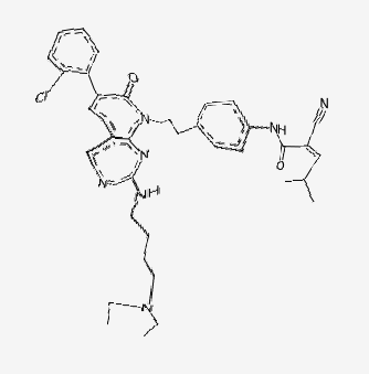 CCN(CC)CCCCNc1ncc2cc(-c3ccccc3Cl)c(=O)n(CCc3ccc(NC(=O)/C(C#N)=C\C(C)C)cc3)c2n1